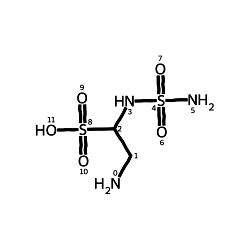 NCC(NS(N)(=O)=O)S(=O)(=O)O